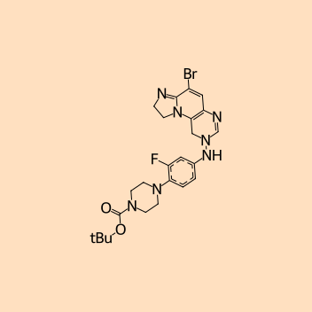 CC(C)(C)OC(=O)N1CCN(c2ccc(NN3C=NC4=C(C3)N3CCN=C3C(Br)=C4)cc2F)CC1